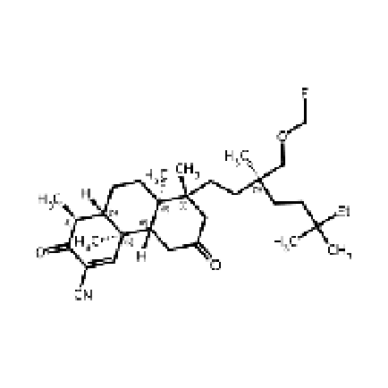 CCC(C)(C)CC[C@@](C)(CC[C@]1(C)CC(=O)C[C@@H]2[C@@]3(C)C=C(C#N)C(=O)[C@@H](C)[C@@H]3CC[C@]21C)COCF